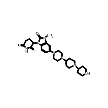 Cn1c(=O)n(C2CCC(=O)NC2=O)c2ccc(N3CCN(C4CCN(C5CCNCC5)CC4)CC3)cc21